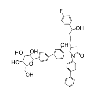 O=C1C[C@@H](CCC[C@H](O)c2ccc(F)cc2)[C@@H](c2ccc(-c3ccc(C4O[C@H](CO)[C@@H](O)[C@H](O)[C@H]4O)cc3)cc2O)N1c1ccc(-c2ccccc2)cc1